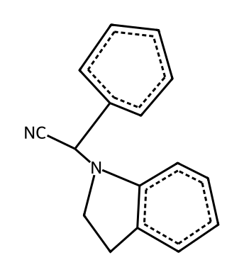 N#CC(c1ccccc1)N1CCc2ccccc21